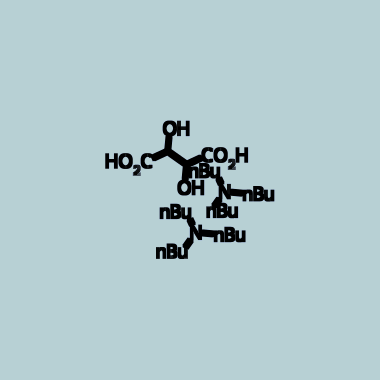 CCCCN(CCCC)CCCC.CCCCN(CCCC)CCCC.O=C(O)C(O)C(O)C(=O)O